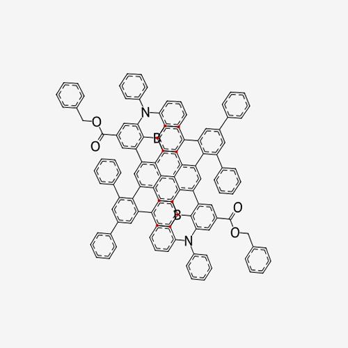 O=C(OCc1ccccc1)c1cc2c3c(c1)N(c1ccccc1)c1ccccc1B3c1cc3c(-c4c(-c5ccccc5)cc(-c5ccccc5)cc4-c4ccccc4)cc4c5c(cc6c(-c7c(-c8ccccc8)cc(-c8ccccc8)cc7-c7ccccc7)cc-2c1c6c35)B1c2ccccc2N(c2ccccc2)c2cc(C(=O)OCc3ccccc3)cc-4c21